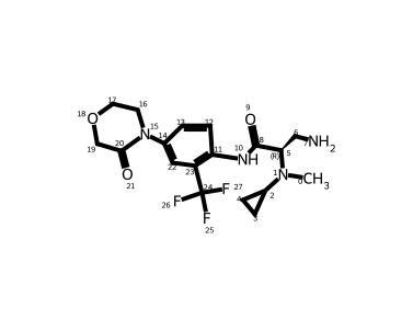 CN(C1CC1)[C@H](CN)C(=O)Nc1ccc(N2CCOCC2=O)cc1C(F)(F)F